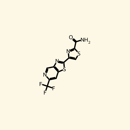 NC(=O)c1nc(-c2nc3cnc(C(F)(F)F)cc3s2)cs1